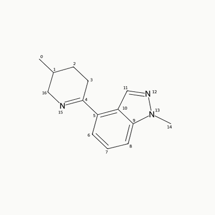 CC1CCC(c2cccc3c2cnn3C)=NC1